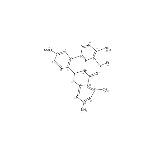 CCOc1nc(-c2cc(OC)ccc2C2Cc3nc(N)nc(C)c3C(=O)N2)cnc1N